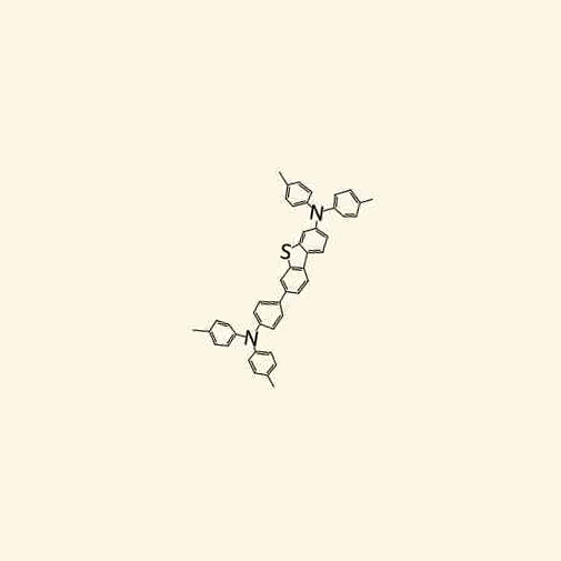 Cc1ccc(N(c2ccc(C)cc2)c2ccc(-c3ccc4c(c3)sc3cc(N(c5ccc(C)cc5)c5ccc(C)cc5)ccc34)cc2)cc1